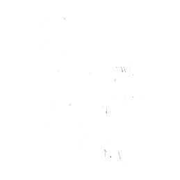 Cc1ccc2c(c1)N(CC(N)=O)C(=O)C(N)CC2CC1CCCCC1